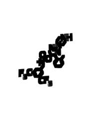 Cc1ccccc1-c1nc(N2CCNCC2)ncc1OC(=O)N(C)Cc1cc(C(F)(F)F)cc(C(F)(F)F)c1